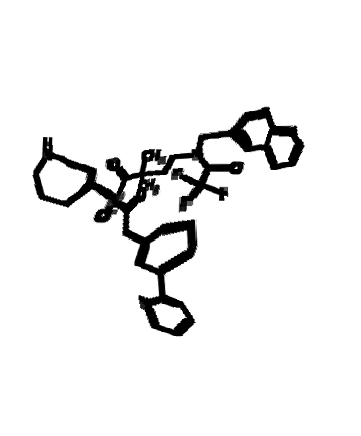 CC(C)(CCN(Cc1ccc2ccccc2c1)C(=O)C(F)(F)F)C(=O)[N+]([O-])(C(=O)Cc1cccc(-c2ccccn2)c1)C1CCCNCC1